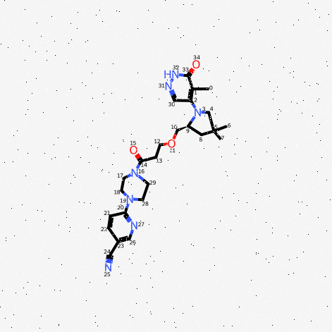 Cc1c(N2CC(C)(C)C[C@H]2COCCC(=O)N2CCN(c3ccc(C#N)cn3)CC2)cn[nH]c1=O